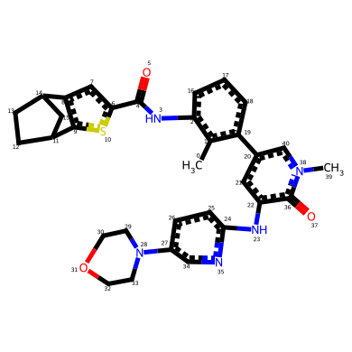 Cc1c(NC(=O)c2cc3c(s2)C2CCC3C2)cccc1-c1cc(Nc2ccc(N3CCOCC3)cn2)c(=O)n(C)c1